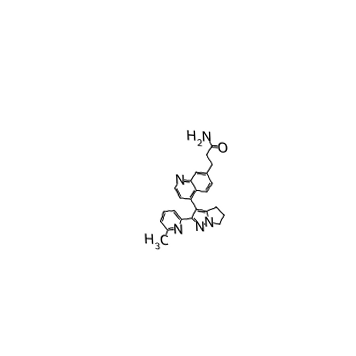 Cc1cccc(-c2nn3c(c2-c2ccnc4cc(CCC(N)=O)ccc24)CCC3)n1